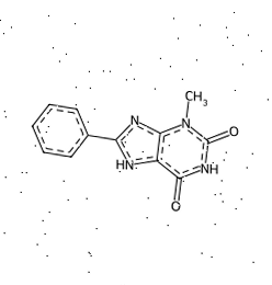 Cn1c(=O)[nH]c(=O)c2[nH]c(-c3ccccc3)nc21